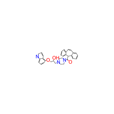 O=C(C1c2ccccc2C=Cc2ccccc21)N1CCN(CC(O)COc2cccc3ncccc23)CC1